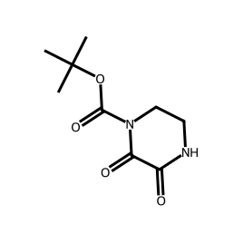 CC(C)(C)OC(=O)N1CCNC(=O)C1=O